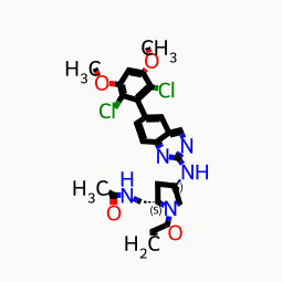 C=CC(=O)N1C[C@@H](Nc2ncc3cc(-c4c(Cl)c(OC)cc(OC)c4Cl)ccc3n2)C[C@H]1CNC(C)=O